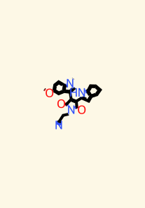 COc1ccc2c(c1)c(C1=C(c3cc4ccccc4[nH]3)C(=O)N(CCC#N)C1=O)cn2C